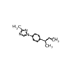 CCC(C)c1ccc(-n2cnc(C)n2)cc1